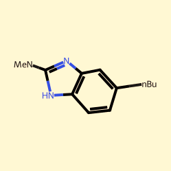 CCCCc1ccc2[nH]c(NC)nc2c1